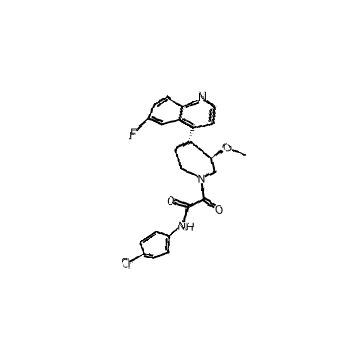 CO[C@H]1CN(C(=O)C(=O)Nc2ccc(Cl)cc2)CC[C@@H]1c1ccnc2ccc(F)cc12